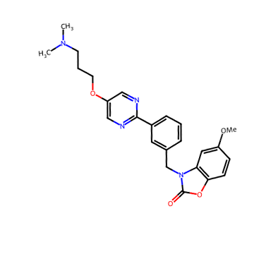 COc1ccc2oc(=O)n(Cc3cccc(-c4ncc(OCCCN(C)C)cn4)c3)c2c1